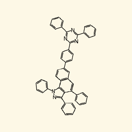 c1ccc(-c2nc(-c3ccccc3)nc(-c3ccc(-c4ccc5c(c4)cc(-c4ccccc4)c4c(-c6ccccc6)nn(-c6ccccc6)c45)cc3)n2)cc1